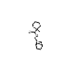 CC1(C(Cl)OCC2CC3CCC2C3)CCCCC1